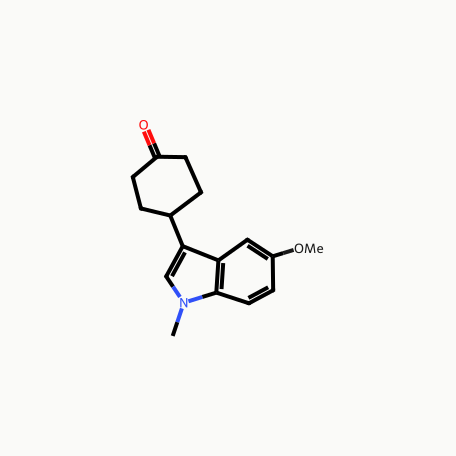 COc1ccc2c(c1)c(C1CCC(=O)CC1)cn2C